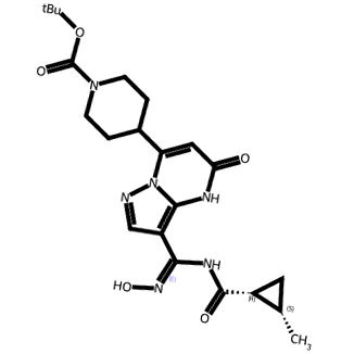 C[C@H]1C[C@H]1C(=O)N/C(=N/O)c1cnn2c(C3CCN(C(=O)OC(C)(C)C)CC3)cc(=O)[nH]c12